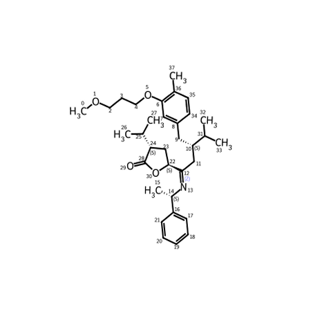 COCCCOc1cc(C[C@@H](C/C(=N/[C@@H](C)c2ccccc2)[C@@H]2C[C@@H](C(C)C)C(=O)O2)C(C)C)ccc1C